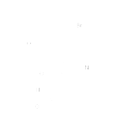 COc1cc(Br)c(C)c2c1O[C@@H]1C(=O)CCC3C(C)N(C)CC[C@]231